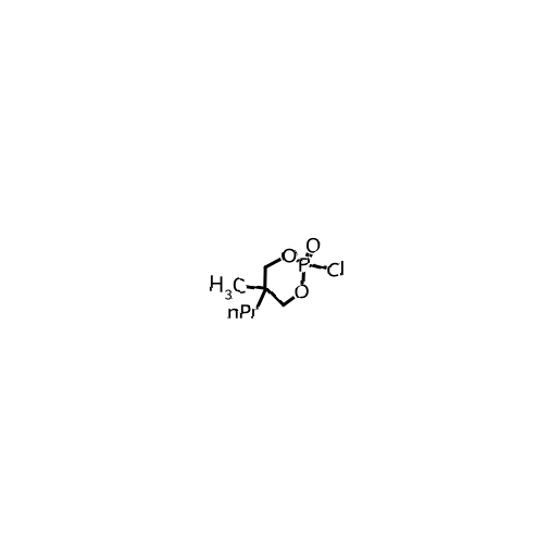 CCCC1(C)COP(=O)(Cl)OC1